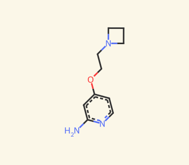 Nc1cc(OCCN2CCC2)ccn1